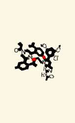 C=CC(=O)N1CC(C2CC(C)CCC2C(C)C)N(CCCn2c(=O)c(-c3cc(OC)cc(OC)c3Cl)cc3cnc(NC(C)=O)nc32)C(C2CC(C)CCC2C(C)C)C1